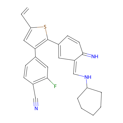 C=Cc1cc(-c2ccc(C#N)c(F)c2)c(C2=C/C(=C/NC3CCCCC3)C(=N)C=C2)s1